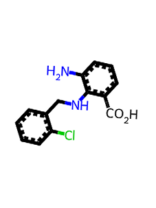 Nc1cccc(C(=O)O)c1NCc1ccccc1Cl